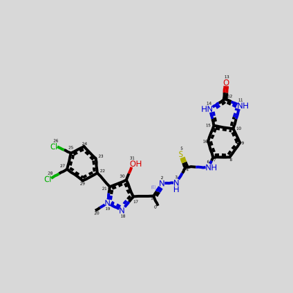 C/C(=N\NC(=S)Nc1ccc2[nH]c(=O)[nH]c2c1)c1nn(C)c(-c2ccc(Cl)c(Cl)c2)c1O